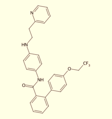 O=C(Nc1ccc(NCCc2ccccn2)cc1)c1ccccc1-c1ccc(OCC(F)(F)F)cc1